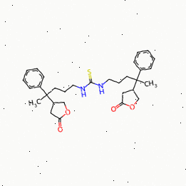 CC(CCCNC(=S)NCCCC(C)(c1ccccc1)C1COC(=O)C1)(c1ccccc1)C1COC(=O)C1